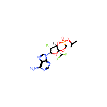 CC(C)OP1(=O)CO[C@@]2(C(F)F)O[C@@H](n3cnc4c(N)ncnc43)[C@H](F)[C@@H]2O1